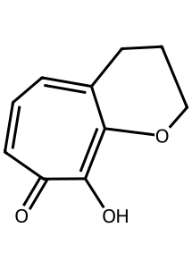 O=c1cccc2c(c1O)OCCC2